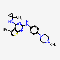 CC(C)c1csc2nc(Nc3ccc(N4CCN(C)CC4)cc3)nc(NC3(C)CC3)c12